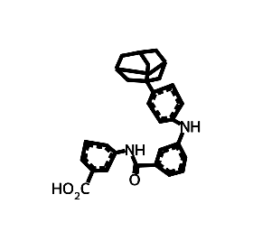 O=C(O)c1cccc(NC(=O)c2cccc(Nc3ccc(C45CC6CC(CC(C6)C4)C5)cc3)c2)c1